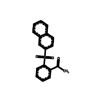 CC(=O)c1ccccc1S(=O)(=O)c1ccc2ccccc2c1